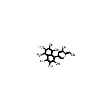 Bc1c(O)c(O)c2c(C(/C=C(C#N)\C(F)=C\C#N)=C/C)c(O)c(O)c(O)c2c1B